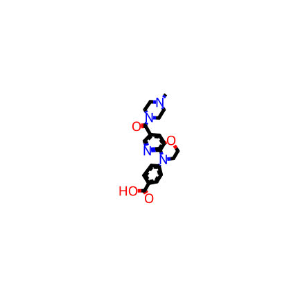 CN1CCN(C(=O)c2cnc3c(c2)OCCN3c2ccc(C(=O)O)cc2)CC1